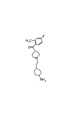 Cc1cc(F)ccc1C(=O)C1CCN(CCC2CCC(N)CC2)CC1